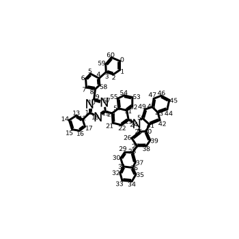 c1ccc(-c2cccc(-c3nc(-c4ccccc4)nc(-c4ccc(-n5c6cc(-c7ccc8ccccc8c7)ccc6c6cc7ccccc7cc65)c5ccccc45)n3)c2)cc1